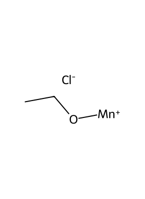 CC[O][Mn+].[Cl-]